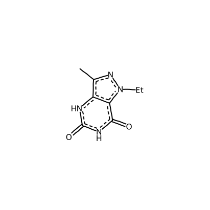 CCn1nc(C)c2[nH]c(=O)[nH]c(=O)c21